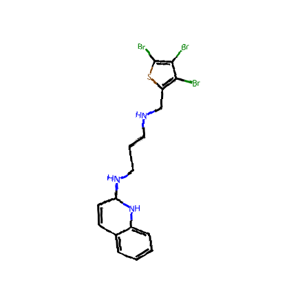 Brc1sc(CNCCCNC2C=Cc3ccccc3N2)c(Br)c1Br